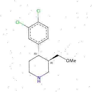 COC[C@H]1CNCC[C@@H]1c1ccc(Cl)c(Cl)c1